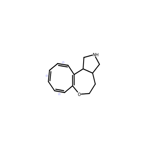 C1=C\C=C/C2=C(\C=C/1)OCCC1CNCC21